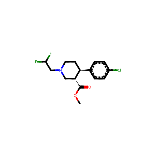 COC(=O)[C@@H]1CN(CC(F)F)CC[C@H]1c1ccc(Cl)cc1